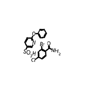 NC(=O)c1ccc(Cl)cc1Br.O=S(=O)(O)c1ccc(Oc2ccccc2)nc1